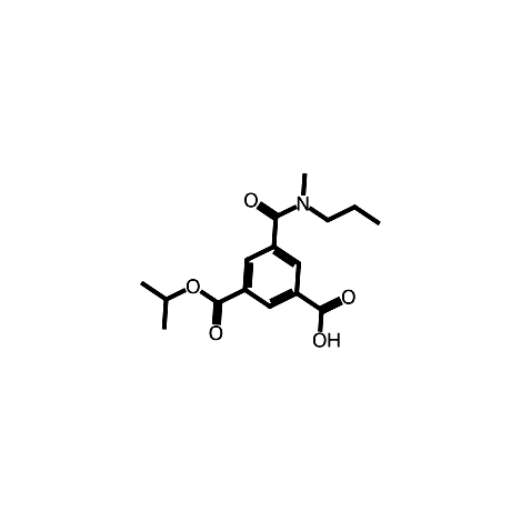 CCCN(C)C(=O)c1cc(C(=O)O)cc(C(=O)OC(C)C)c1